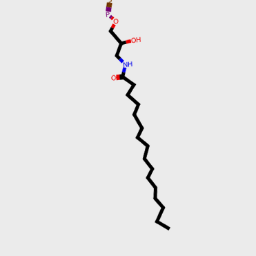 CCCCCCCCCCCCCCCC(=O)NCC(O)COP=S